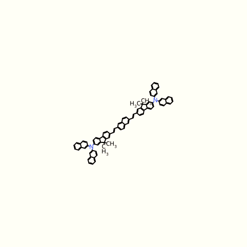 CC1(C)c2cc(/C=C/c3ccc4cc(/C=C/c5ccc6c(c5)C(C)(C)c5cc(N(c7ccc8ccccc8c7)c7ccc8ccccc8c7)ccc5-6)ccc4c3)ccc2-c2ccc(N(c3ccc4ccccc4c3)c3ccc4ccccc4c3)cc21